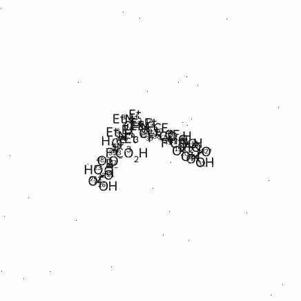 CC[N+](C)(CC)CC.CC[N+](C)(CC)CC.CC[N+](C)(CC)CC.O=C(O)C(=O)O.O=C(O)C(=O)O.O=C(O)C(=O)O.O=C(O)C(F)C(F)(F)F.O=C(O)C(F)C(F)(F)F.O=C(O)C(F)C(F)(F)F.[O-]B([O-])[O-]